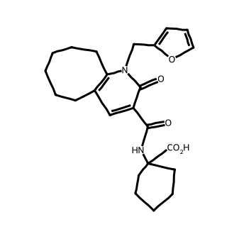 O=C(NC1(C(=O)O)CCCCC1)c1cc2c(n(Cc3ccco3)c1=O)CCCCCC2